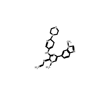 C=C/N=c1/c(NC2=CCC(N3CCOCC3)N=C2)nc(-c2ccc3ncn(C)c3c2)cn1C